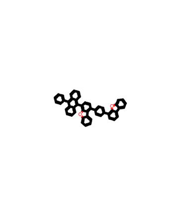 c1ccc(-c2c3ccccc3c(-c3ccc(-c4ccc(-c5cccc6c5oc5ccccc56)cc4)c4c3oc3ccccc34)c3ccccc23)cc1